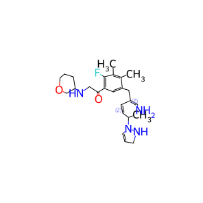 Cc1c(CC(/C=C\C(C)N2C=CCN2)=C/N)cc(C(=O)CNC2CCCOC2)c(F)c1C